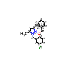 CC(=O)Nc1cc(C)n(Cc2cc(Cl)ccc2OCc2ccccc2)n1